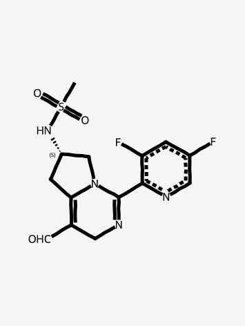 CS(=O)(=O)N[C@H]1CC2=C(C=O)CN=C(c3ncc(F)cc3F)N2C1